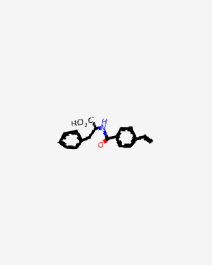 C=Cc1ccc(C(=O)N[C@@H](Cc2ccccc2)C(=O)O)cc1